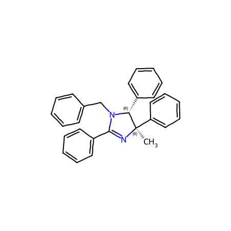 C[C@]1(c2ccccc2)N=C(c2ccccc2)N(Cc2ccccc2)[C@@H]1c1ccccc1